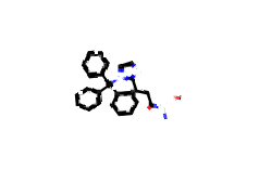 CON(C)C(=O)CCc1nccn1C(c1ccccc1)(c1ccccc1)c1ccccc1